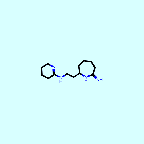 N=C1CCCCC(CCNC2=NCCCC2)N1